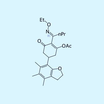 CCC/C(=N\OCC)C1=C(OC(C)=O)CC(c2c(C)c(C)c(C)c3c2OCC3)CC1=O